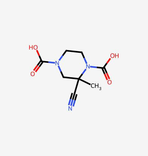 CC1(C#N)CN(C(=O)O)CCN1C(=O)O